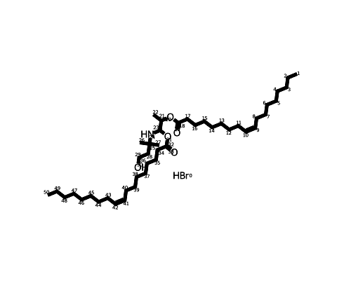 Br.CCCCCCCC/C=C\CCCCCCCC(=O)OC(C)C(NC(C)(C)CCO)OC(=O)CCCCCCC/C=C\CCCCCCCC